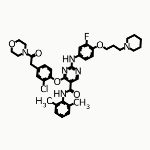 Cc1cccc(C)c1NC(=O)c1cnc(Nc2ccc(OCCCN3CCCCC3)c(F)c2)nc1Oc1ccc(CC(=O)N2CCOCC2)cc1Cl